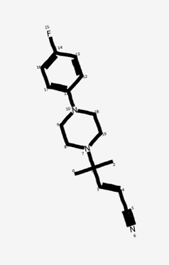 CC(C)(C=CC#N)N1CCN(c2ccc(F)cc2)CC1